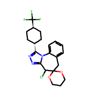 FC(F)(F)[C@H]1CC[C@H](c2nnc3n2-c2ccccc2CC2(OCCCO2)C3Cl)CC1